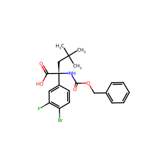 CC(C)(C)C[C@](NC(=O)OCc1ccccc1)(C(=O)O)c1ccc(Br)c(F)c1